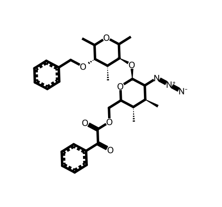 CC1OC(C)[C@@H](O[C@@H]2OC(COC(=O)C(=O)c3ccccc3)[C@@H](C)[C@H](C)C2N=[N+]=[N-])[C@H](C)[C@@H]1OCc1ccccc1